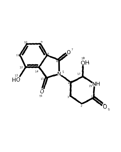 O=C1CCC(N2C(=O)c3cccc(O)c3C2=O)C(O)N1